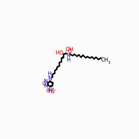 CCCCCCCCCCCCCCCC(=O)N[C@@H](CO)[C@H](O)C=CCCCCCCCCCNc1ccc([N+](=O)[O-])c2nonc12